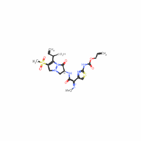 C=CCOC(=O)Nc1nc(/C(=N/OC)C(=O)N[C@H]2CN3CC(S(C)(=O)=O)=C(C(C=C)C(=O)O)N3C2=O)cs1